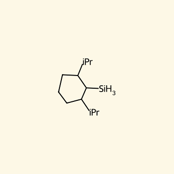 CC(C)C1CCCC(C(C)C)C1[SiH3]